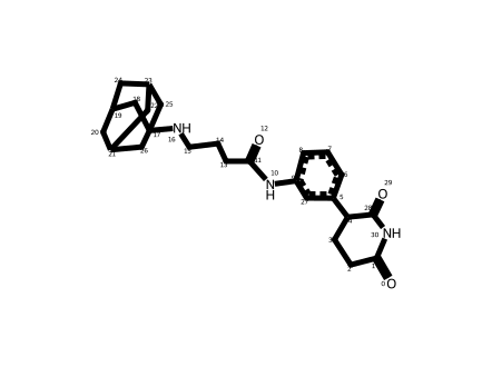 O=C1CCC(c2cccc(NC(=O)CCCNC34CC5CC(CC(C5)C3)C4)c2)C(=O)N1